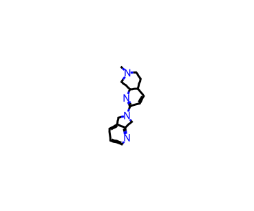 CN1CCC2C=CC(N3Cc4cccnc4C3)=NC2C1